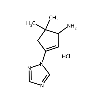 CC1(C)CC(n2cncn2)=CC1N.Cl